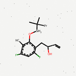 C=CC(O)Cc1c(F)cc(F)c(C#N)c1O[SiH2]C(C)(C)C(C)C